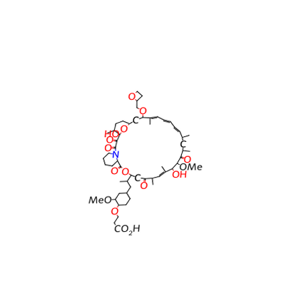 COC1CC(CC(C)C2CC(=O)C(C)/C=C(\C)C(O)C(OC)C(=O)C(C)CC(C)/C=C/C=C/C=C(\C)C(OCC3CCO3)CC3CCC(C)C(O)(O3)C(=O)C(=O)N3CCCCC3C(=O)O2)CCC1OCCC(=O)O